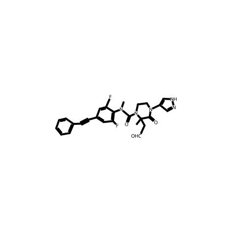 CN(C(=O)N1CCN(c2cn[nH]c2)C(=O)C1(C)CC=O)c1c(F)cc(C#Cc2ccccc2)cc1F